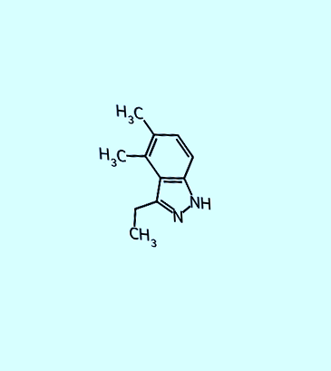 CCc1n[nH]c2ccc(C)c(C)c12